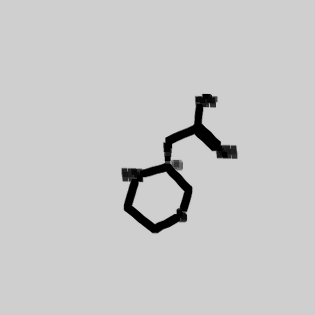 CCCC(=N)C[C@@H]1CSCCN1